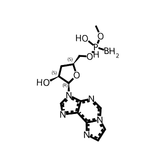 B[PH](O)(OC)OC[C@@H]1C[C@H](O)[C@H](n2cnc3c2ncn2ccnc32)O1